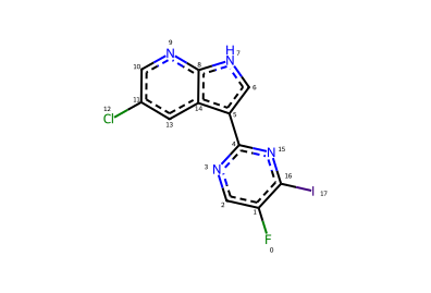 Fc1cnc(-c2c[nH]c3ncc(Cl)cc23)nc1I